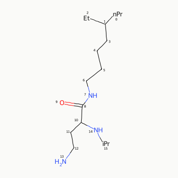 CCCC(CC)CCCCNC(=O)C(CCN)NC(C)C